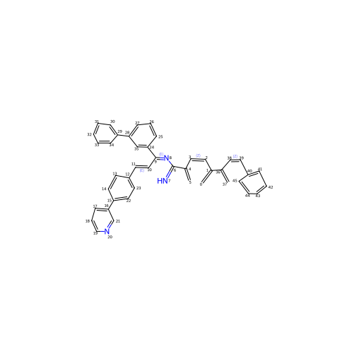 C=C(/C=C\C(=C)C(=N)/N=C(\C=C\c1ccc(-c2cccnc2)cc1)c1cccc(-c2ccccc2)c1)C(=C)/C=C\c1ccccc1